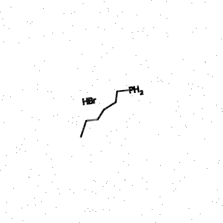 Br.CCCCCCP